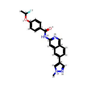 CC(F)Oc1ccc(C(=O)Nc2cc3cc(-c4cnn(C)c4)ccc3cn2)cc1